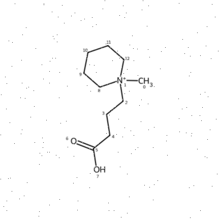 C[N+]1(CCCC(=O)O)CCCCC1